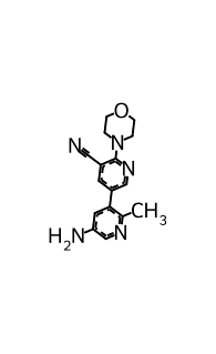 Cc1ncc(N)cc1-c1cnc(N2CCOCC2)c(C#N)c1